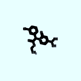 CCOC(=O)C(c1cccc(Cl)c1)n1ccc(B(O)O)cc1=O